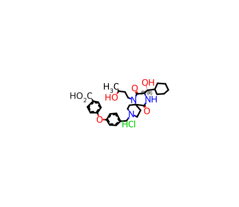 CC(O)CCN1C(=O)[C@@H]([C@H](O)C2CCCCC2)NC(=O)C12CCN(Cc1ccc(Oc3ccc(C(=O)O)cc3)cc1)CC2.Cl